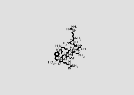 C[C@@H](O)[C@H](NC(=O)[C@H](CCN)NC(=O)[C@@H](N)CCCNC(=N)N)C(=O)N[C@H](CCN)C(=O)N[C@@H](CCCCN)C(=O)N[C@@H](CS)C(=O)N[C@@H](CCN)C(=O)N[C@@H](CCCNC(=N)N)C(=O)N[C@@H](Cc1ccc(O)cc1)C(=O)O